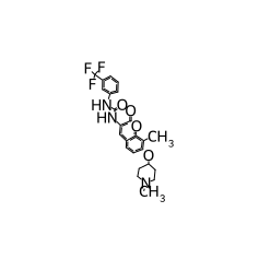 Cc1c(OC2CCN(C)CC2)ccc2cc(NC(=O)Nc3cccc(C(F)(F)F)c3)c(=O)oc12